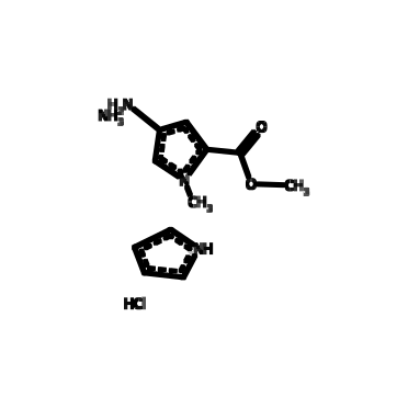 COC(=O)c1cc(N)cn1C.Cl.N.c1cc[nH]c1